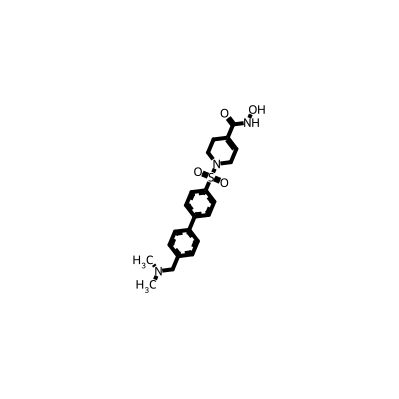 CN(C)Cc1ccc(-c2ccc(S(=O)(=O)N3CC=C(C(=O)NO)CC3)cc2)cc1